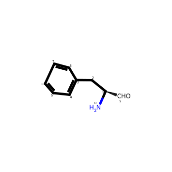 N[C@@H]([CH]c1ccccc1)C=O